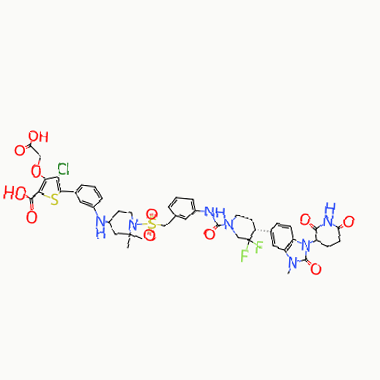 Cn1c(=O)n(C2CCC(=O)NC2=O)c2ccc([C@H]3CCN(C(=O)Nc4cccc(CS(=O)(=O)N5CC[C@H](Nc6cccc(-c7sc(C(=O)O)c(OCC(=O)O)c7Cl)c6)CC5(C)C)c4)CC3(F)F)cc21